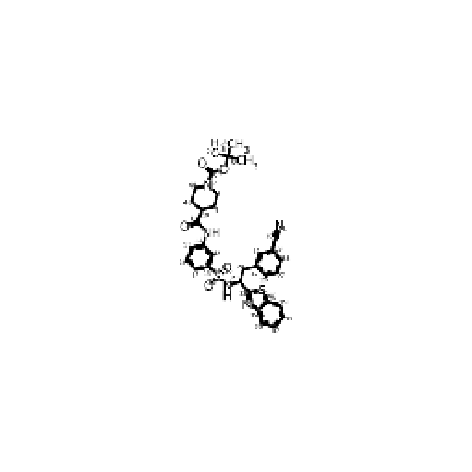 CC(C)(C)OC(=O)N1CCC(C(=O)Nc2cccc(S(=O)(=O)NC(Cc3cccc(C#N)c3)c3nc4ccccc4s3)c2)CC1